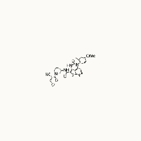 COc1ccc(N2C(=O)Nc3c(C(=O)N[C@@H]4CCCN(C(=O)/C(C#N)=C\C5CC5)C4)sc4nccc2c34)c(C)c1